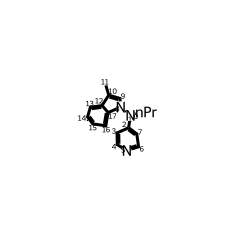 CCCN(c1ccncc1)n1cc(C)c2c[c]ccc21